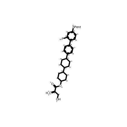 C=C(CO)C(=O)OC1CCC(C2CCC(c3ccc(-c4ccc(CCCCC)cc4F)cc3)CC2)CC1